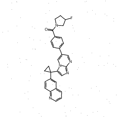 O=C(c1ccc(-c2cnc3ncc(C4(c5ccc6ncccc6c5)CC4)n3c2)cc1)N1CCC(F)C1